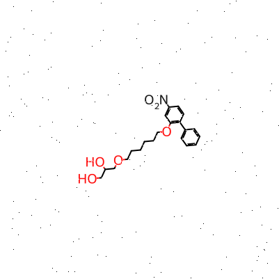 O=[N+]([O-])c1ccc(-c2ccccc2)c(OCCCCCCOCC(O)CO)c1